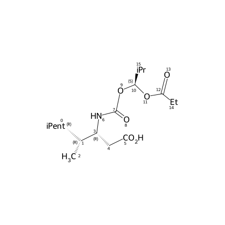 CCC[C@@H](C)[C@@H](C)[C@@H](CC(=O)O)NC(=O)O[C@H](OC(=O)CC)C(C)C